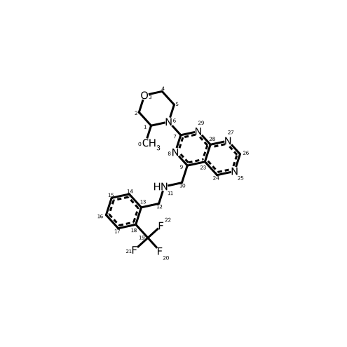 CC1COCCN1c1nc(CNCc2ccccc2C(F)(F)F)c2cncnc2n1